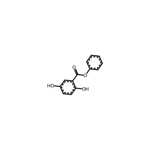 O=C(Oc1ccccc1)c1cc(O)ccc1O